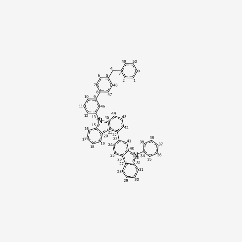 c1ccc(Cc2ccc(-c3cccc(-n4c5ccccc5c5c(-c6ccc7c8ccccc8n(-c8ccccc8)c7c6)cccc54)c3)cc2)cc1